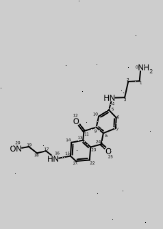 NCCCNc1ccc2c(c1)C(=O)c1cc(NCCCN=O)ccc1C2=O